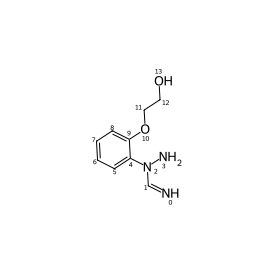 N=CN(N)c1ccccc1OCCO